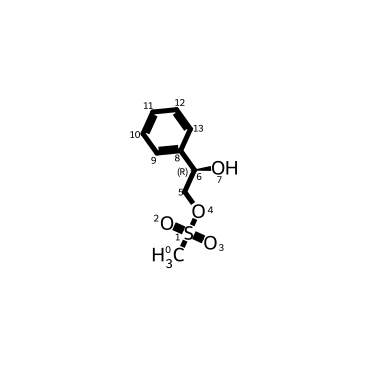 CS(=O)(=O)OC[C@H](O)c1ccccc1